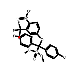 COP(=O)(OC)C(Oc1ccc([N+](=O)[O-])c(C(F)(F)F)c1)(c1ccc(F)cc1)c1ccc(Cl)cc1